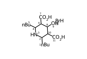 Br.CCCCC1NC(CCCC)C(C(=O)O)C(O)C1C(=O)O